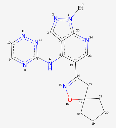 CCn1ncc2c(Nc3nccnn3)c(C3=NOC4(CCCC4)C3)cnc21